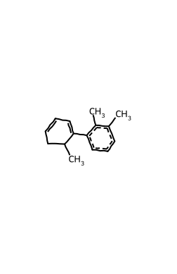 Cc1cccc(C2=CC=CCC2C)c1C